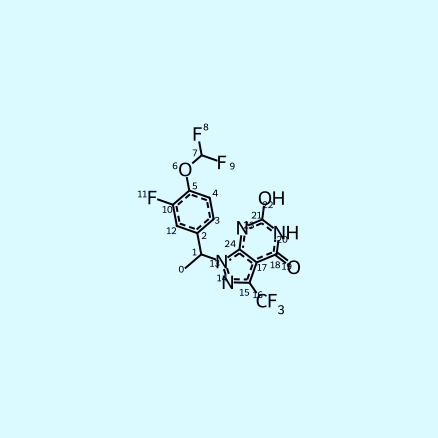 CC(c1ccc(OC(F)F)c(F)c1)n1nc(C(F)(F)F)c2c(=O)[nH]c(O)nc21